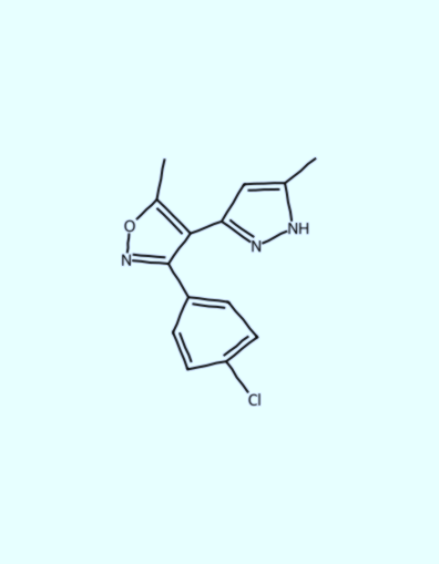 Cc1cc(-c2c(-c3ccc(Cl)cc3)noc2C)n[nH]1